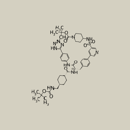 CC(C)(C)OC(=O)NC[C@H]1CC[C@H](C(=O)N[C@@H](Cc2ccc(-c3cncc(S(=O)(=O)NC4CCN(C(=O)OC(C)(C)C)CC4)c3)cc2)C(=O)Nc2ccc(-c3nnn[nH]3)cc2)CC1